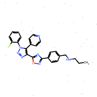 CCCNCc1ccc(-c2noc(-c3nnn(-c4ccccc4F)c3-c3ccncc3)n2)cc1